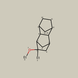 CCOC1(CC)CC2CC1C1C3CCC(C3)C21